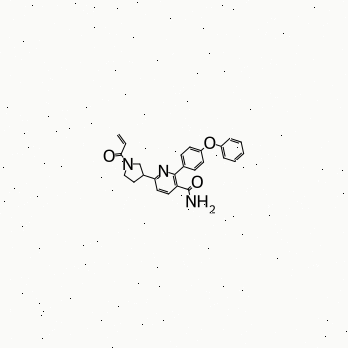 C=CC(=O)N1CCC(c2ccc(C(N)=O)c(-c3ccc(Oc4ccccc4)cc3)n2)C1